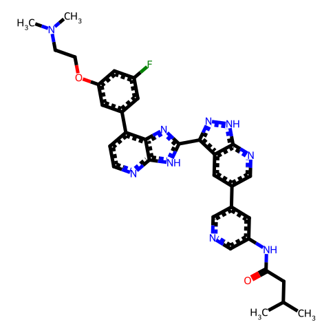 CC(C)CC(=O)Nc1cncc(-c2cnc3[nH]nc(-c4nc5c(-c6cc(F)cc(OCCN(C)C)c6)ccnc5[nH]4)c3c2)c1